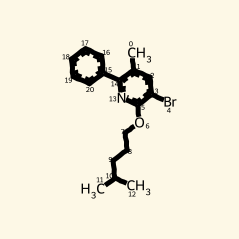 Cc1cc(Br)c(OCCCC(C)C)nc1-c1ccccc1